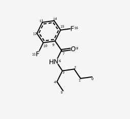 CCCC(CC)NC(=O)c1c(F)cccc1F